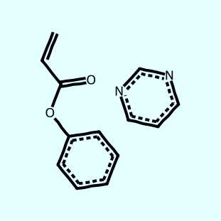 C=CC(=O)Oc1ccccc1.c1cncnc1